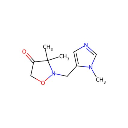 Cn1cncc1CN1OCC(=O)C1(C)C